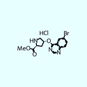 COC(=O)[C@@H]1C[C@@H](Oc2ncnc3ccc(Br)cc23)CN1.Cl